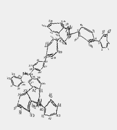 c1ccc(-c2ccc(-c3nc(-c4ccc(-c5ccc(-c6nc7ccccc7c7c6ccc6c7c7ccccc7n6-c6ccccc6)cc5)cc4)c4ccccc4n3)cc2)cc1